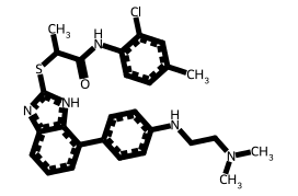 Cc1ccc(NC(=O)C(C)Sc2nc3cccc(-c4ccc(NCCN(C)C)cc4)c3[nH]2)c(Cl)c1